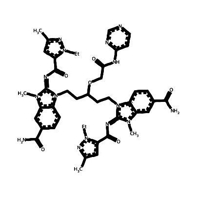 CCn1nc(C)cc1C(=O)N=c1n(C)c2cc(C(N)=O)ccc2n1CCC(CCn1c(=NC(=O)c2cc(C)nn2CC)n(C)c2cc(C(N)=O)ccc21)OCC(=O)Nc1ccncn1